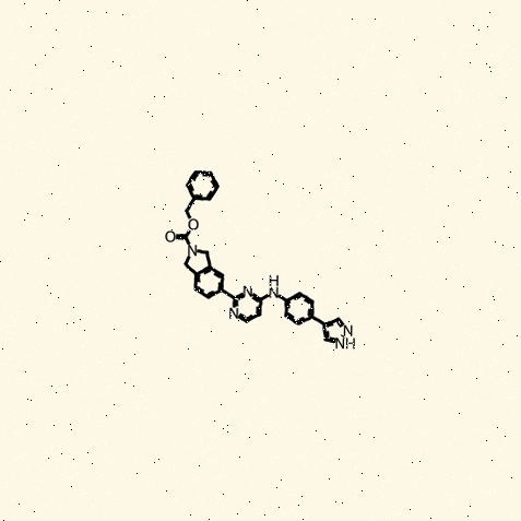 O=C(OCc1ccccc1)N1Cc2ccc(-c3nccc(Nc4ccc(-c5cn[nH]c5)cc4)n3)cc2C1